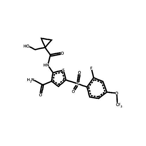 NC(=O)c1cc(S(=O)(=O)c2ccc(OC(F)(F)F)cc2F)sc1NC(=O)C1(CO)CC1